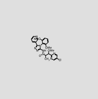 COc1cccc(OC)c1-n1c(N[S+]([O-])C(C)C(OC)c2ncc(Cl)cn2)nnc1-c1cccnc1